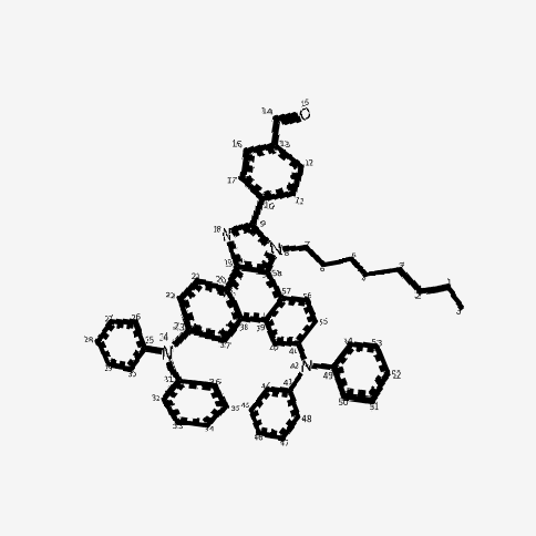 CCCCCCCCn1c(-c2ccc(C=O)cc2)nc2c3ccc(N(c4ccccc4)c4ccccc4)cc3c3cc(N(c4ccccc4)c4ccccc4)ccc3c21